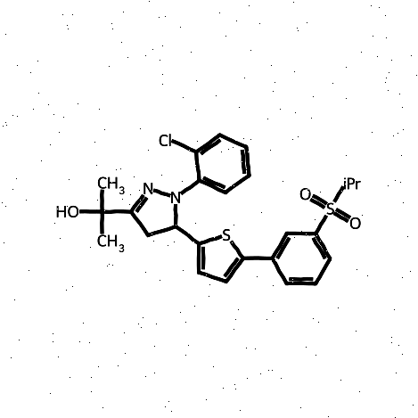 CC(C)S(=O)(=O)c1cccc(-c2ccc(C3CC(C(C)(C)O)=NN3c3ccccc3Cl)s2)c1